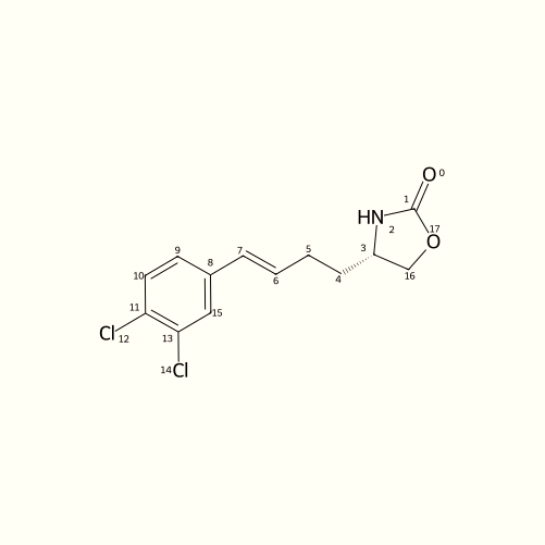 O=C1N[C@@H](CCC=Cc2ccc(Cl)c(Cl)c2)CO1